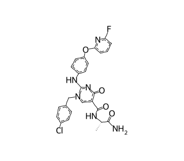 C[C@H](NC(=O)c1cn(Cc2ccc(Cl)cc2)c(Nc2ccc(Oc3cccc(F)n3)cc2)nc1=O)C(N)=O